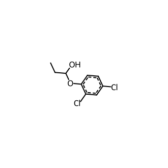 CCC(O)Oc1ccc(Cl)cc1Cl